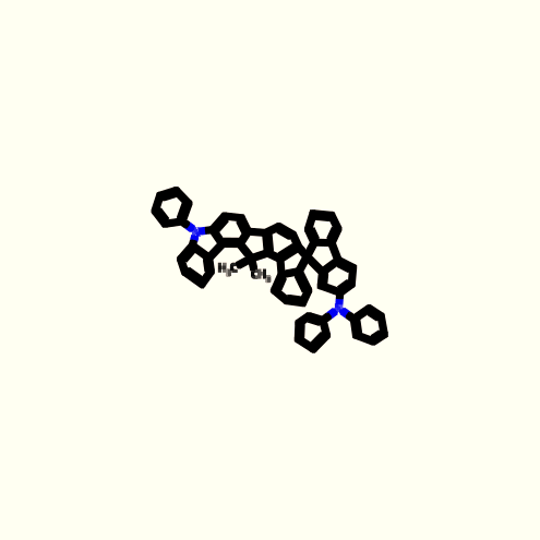 CC1(C)c2c(ccc3c2-c2ccccc2C32c3ccccc3-c3ccc(N(c4ccccc4)c4ccccc4)cc32)-c2ccc3c(c21)c1ccccc1n3-c1ccccc1